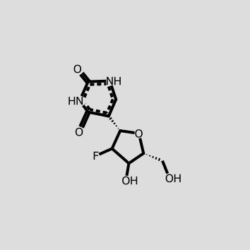 O=c1[nH]cc([C@@H]2O[C@H](CO)C(O)C2F)c(=O)[nH]1